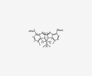 CCCCCc1ccc(C)c2c1C=C(C)[CH]2[Zr]([Cl])([Cl])([CH]1C(C)=Cc2c(CCCCC)ccc(C)c21)[SiH](C)C